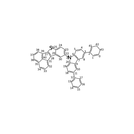 C1=CC(c2ccc3c(c2)c2cc(-c4ccccc4)ccc2n3-c2ccc3sc4c(c3c2)-c2cccc3cccc-4c23)=CCC1